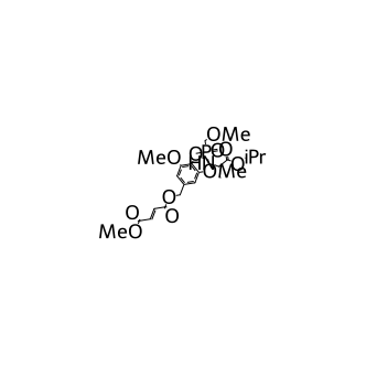 COCP(=O)(N[C@@H](C)C(=O)OC(C)C)Oc1c(OC)cc(COC(=O)/C=C/C(=O)OC)cc1OC